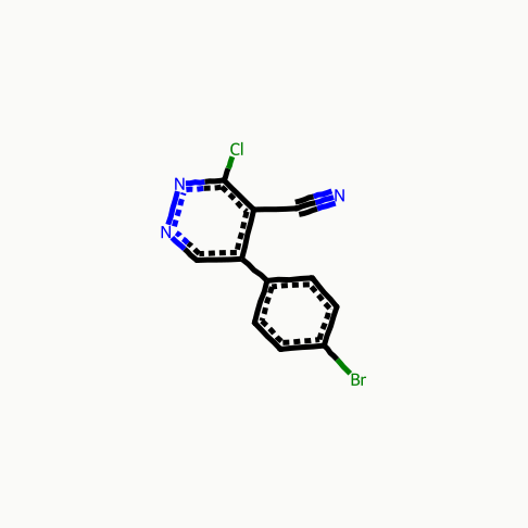 N#Cc1c(-c2ccc(Br)cc2)cnnc1Cl